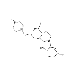 CC(=O)N1CCc2c([nH]c3ccc(Cl)cc23)C1CCCN1CCN(C)CC1